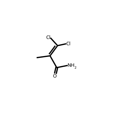 CC(C(N)=O)=C(Cl)Cl